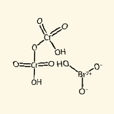 [O-][Br+2]([O-])O.[O]=[Cr](=[O])([OH])[O][Cr](=[O])(=[O])[OH]